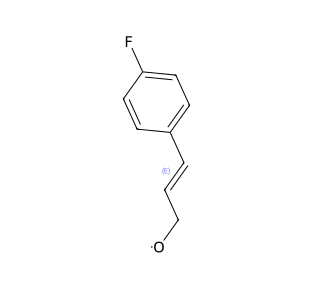 [O]C/C=C/c1ccc(F)cc1